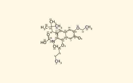 CCCCOc1c2cc(=O)c(OCC)cc-2cn(CC(C)(C)C)c1N(C)C(=O)O